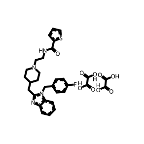 O=C(NCCN1CCC(Cc2nc3ccccc3n2Cc2ccc(F)cc2)CC1)c1cccs1.O=C(O)C(=O)O.O=C(O)C(=O)O